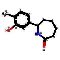 Cc1ccc(C2CCCCC(=O)N2)cc1O